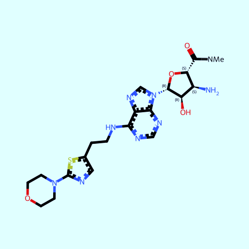 CNC(=O)[C@H]1O[C@@H](n2cnc3c(NCCc4cnc(N5CCOCC5)s4)ncnc32)[C@H](O)[C@@H]1N